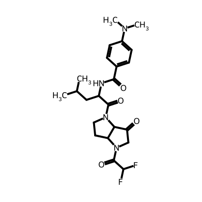 CC(C)CC(NC(=O)c1ccc(N(C)C)cc1)C(=O)N1CCC2C1C(=O)CN2C(=O)C(F)F